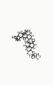 CC1(C)CCC(CN2CCN(c3cccc(C(N)=O)c3Oc3cccc4[nH]ncc34)CC2)=C(c2ccc(Cl)cc2)C1